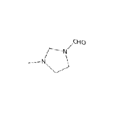 CN1CCN(C=O)C1